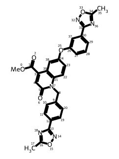 COC(=O)c1cc(=O)n(Cc2ccc(-c3noc(C)n3)cc2)c2ccc(Oc3cccc(-c4noc(C)n4)c3)cc12